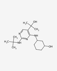 CC(C)(C)Nc1ncc(C(C)(C)O)c(NC2CCCC(O)C2)n1